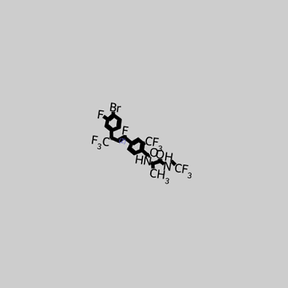 CC(NC(=O)c1ccc(/C(F)=C/C(c2ccc(Br)c(F)c2)C(F)(F)F)cc1C(F)(F)F)C(=O)NCC(F)(F)F